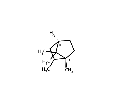 C[C]1C[C@H]2CC[C@@]1(C)C2(C)C